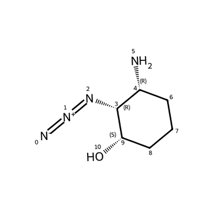 [N-]=[N+]=N[C@@H]1[C@H](N)CCC[C@@H]1O